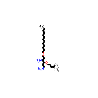 CCCCCCCCCCCCCOCCC(N)C(CCN)OCCCC(C)C